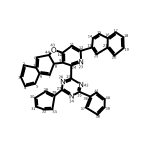 C1=c2ccccc2=CC2c3c(cc(-c4ccc5ccccc5c4)nc3-c3nc(-c4ccccc4)nc(-c4ccccc4)n3)OC12